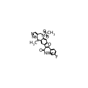 CNC(=O)c1c(-c2ccc(F)cc2)oc2cc3c(cc12)[C@H](C)n1nncc1CN3S(C)(=O)=O